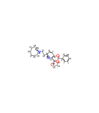 c1ccc(COc2ccc(CCN3CCCCCCC3)nc2C2OCCO2)cc1